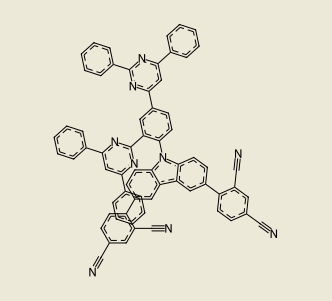 N#Cc1ccc(-c2ccc3c(c2)c2cc(-c4ccc(C#N)cc4C#N)ccc2n3-c2ccc(-c3cc(-c4ccccc4)nc(-c4ccccc4)n3)cc2-c2nc(-c3ccccc3)cc(-c3ccccc3)n2)c(C#N)c1